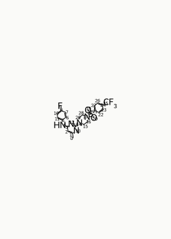 Cc1cc(Nc2ccc(F)cc2)nc(N2CCN(S(=O)(=O)c3ccc(C(F)(F)F)cc3)CC2)n1